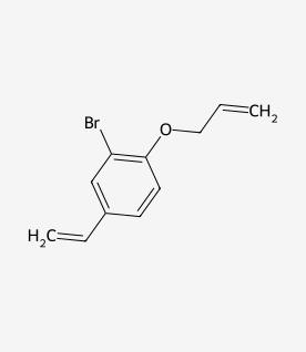 C=CCOc1ccc(C=C)cc1Br